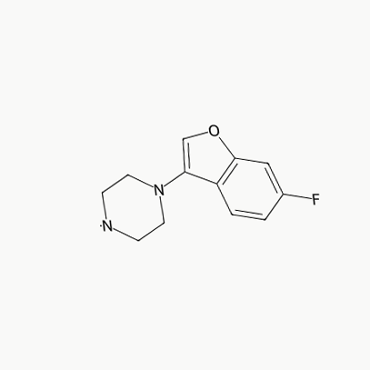 Fc1ccc2c(N3CC[N]CC3)coc2c1